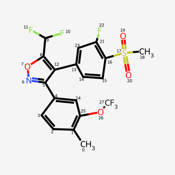 Cc1ccc(-c2noc(C(F)F)c2-c2ccc(S(C)(=O)=O)c(F)c2)cc1OC(F)(F)F